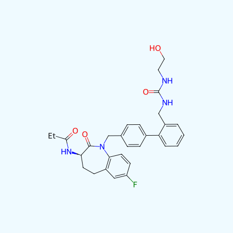 CCC(=O)N[C@@H]1CCc2cc(F)ccc2N(Cc2ccc(-c3ccccc3CNC(=O)NCCO)cc2)C1=O